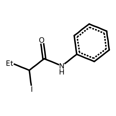 CCC(I)C(=O)Nc1ccccc1